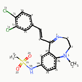 CN1CCN=C(C=Cc2ccc(Cl)c(Cl)c2)c2cc(NS(C)(=O)=O)ccc21